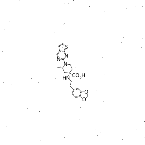 CC1CC(NCCc2ccc3c(c2)OCO3)(C(=O)O)CCN1c1ncc2ccsc2n1